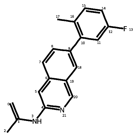 C=C(C)Nc1cc2ccc(-c3cc(F)ccc3C)cc2cn1